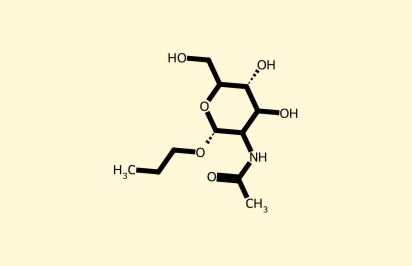 CCCO[C@@H]1OC(CO)[C@H](O)C(O)C1NC(C)=O